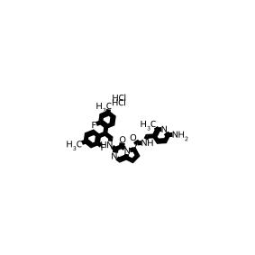 Cc1ccc(C(CNc2ncc3n(c2=O)[C@H](C(=O)NCc2ccc(N)nc2C)CC3)c2ccc(C)cc2F)c(F)c1.Cl.Cl